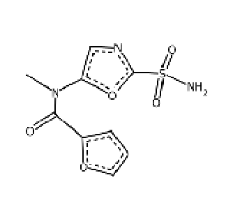 CN(C(=O)c1ccco1)c1cnc(S(N)(=O)=O)o1